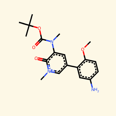 COc1ccc(N)cc1-c1cc(N(C)C(=O)OC(C)(C)C)c(=O)n(C)c1